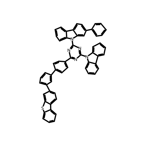 c1ccc(-c2ccc3c4ccccc4n(-c4nc(-c5ccc(-c6cccc(-c7ccc8c(c7)sc7ccccc78)c6)cc5)nc(-n5c6ccccc6c6ccccc65)n4)c3c2)cc1